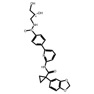 O=C(Nc1cccc(-c2ccc([S+]([O-])NC[C@@H](O)CO)cc2)n1)C1(c2ccc3c(c2)OCO3)CC1